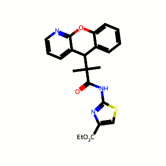 CCOC(=O)c1csc(NC(=O)C(C)(C)C2c3ccccc3Oc3ncccc32)n1